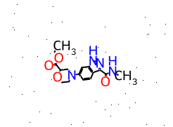 CCOC(=O)C1CN(c2ccc3c(C(=O)NC)n[nH]c3c2)CCO1